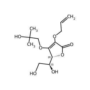 C=CCOC1=C(OCC(C)(C)O)[C@@H]([C@@H](O)CO)OC1=O